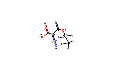 C=C(O[Si](C)(C)C(C)(C)C)C(=[N+]=[N-])C(=O)O